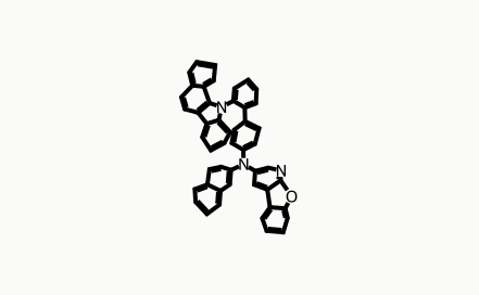 c1ccc(-n2c3ccccc3c3ccc4ccccc4c32)c(-c2ccc(N(c3ccc4ccccc4c3)c3cnc4oc5ccccc5c4c3)cc2)c1